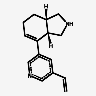 C=Cc1cncc(C2=CCC[C@@H]3CNC[C@H]23)c1